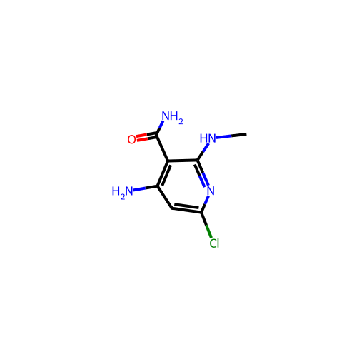 CNc1nc(Cl)cc(N)c1C(N)=O